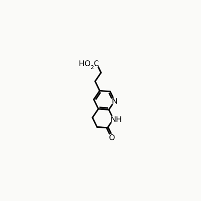 O=C(O)CCc1cnc2c(c1)CCC(=O)N2